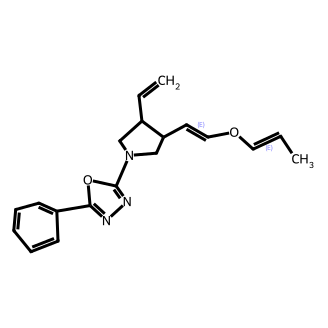 C=CC1CN(c2nnc(-c3ccccc3)o2)CC1/C=C/O/C=C/C